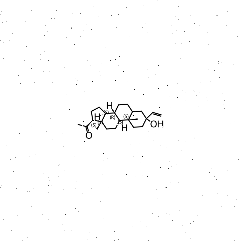 C=CC1(O)CC[C@@]2(C)C(CC[C@H]3[C@@H]4CC[C@H](C(C)=O)[C@@]4(C)CC[C@@H]32)C1